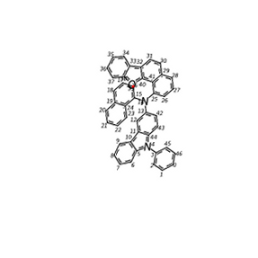 c1ccc(-n2c3ccccc3c3cc(N(c4cccc5ccccc45)c4cccc5ccc6c7ccccc7oc6c45)ccc32)cc1